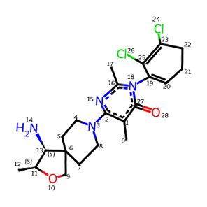 Cc1c(N2CCC3(CC2)CO[C@@H](C)[C@H]3N)nc(C)n(C2=CCCC(Cl)=C2Cl)c1=O